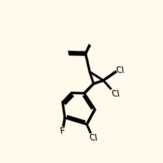 C=C(C)C1C(c2ccc(F)c(Cl)c2)C1(Cl)Cl